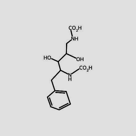 O=C(O)NCC(O)C(O)C(Cc1ccccc1)NC(=O)O